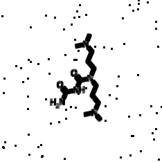 CN(C)CCCN(CCCN(C)C)C(=O)NC(N)=O